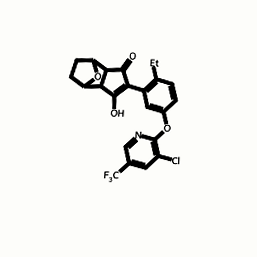 CCc1ccc(Oc2ncc(C(F)(F)F)cc2Cl)cc1C1=C(O)C2C3CCC(O3)C2C1=O